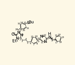 CCn1c(CCCc2ccc(-c3cnc(NSc4ccccc4)cn3)cc2)nn(Cc2ccc(C(C)(C)C)cc2)c1=O